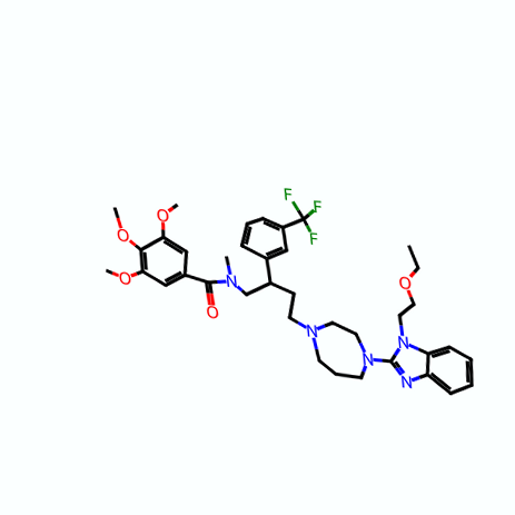 CCOCCn1c(N2CCCN(CCC(CN(C)C(=O)c3cc(OC)c(OC)c(OC)c3)c3cccc(C(F)(F)F)c3)CC2)nc2ccccc21